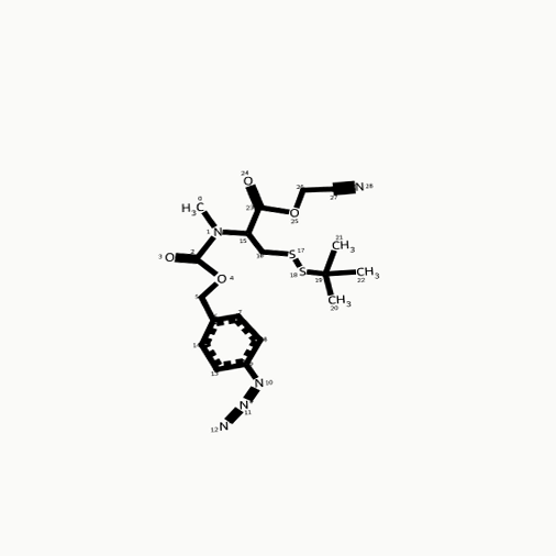 CN(C(=O)OCc1ccc(N=[N+]=[N-])cc1)C(CSSC(C)(C)C)C(=O)OCC#N